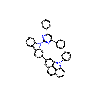 c1ccc(-c2cc(-c3ccccc3)nc(-n3c4ccccc4c4ccc(-c5cc6ccc7cccc8c7c6c(c5)n8-c5ccccc5)cc43)n2)cc1